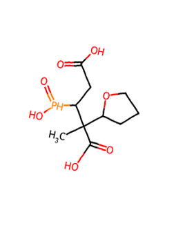 CC(C(=O)O)(C1CCCO1)C(CC(=O)O)[PH](=O)O